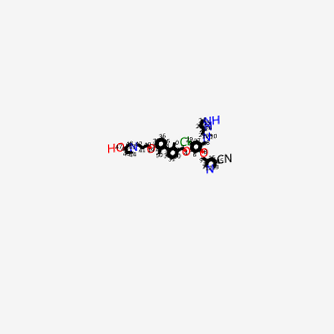 Cc1c(COc2cc(OCc3cncc(C#N)c3)c(CN(C)Cc3cc[nH]n3)cc2Cl)cccc1-c1cccc(OCCCN2CC[C@@H](O)C2)c1C